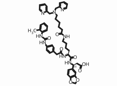 Cc1ccccc1NC(=O)Nc1ccc(CC(=O)N[C@@H](CCCCNC(=O)CCCCCN(Cc2ccccn2)Cc2ccccn2)C(=O)N[C@@H](CC(=O)O)c2ccc3c(c2)OCO3)cc1